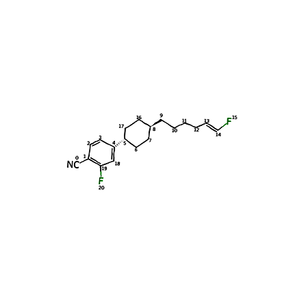 N#Cc1ccc([C@H]2CC[C@H](CCCCC=CF)CC2)cc1F